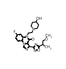 COCC(C)c1nc(-c2ncn3c2c(=O)n(CCN2CCC(O)CC2)c2cc(F)ccc23)no1